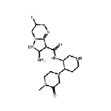 CN1CCN(C2CCNCC2NC(=O)C2C3=NCC(F)CN3NC2N)CC1=O